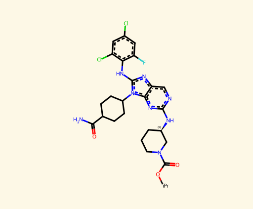 CC(C)OC(=O)N1CCC[C@@H](Nc2ncc3nc(Nc4c(F)cc(Cl)cc4Cl)n(C4CCC(C(N)=O)CC4)c3n2)C1